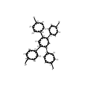 Cc1ccc(-c2cc(-c3ccc(C)cc3)c(-c3ccc(C)cc3)cc2-c2ccc(C)cc2)cc1